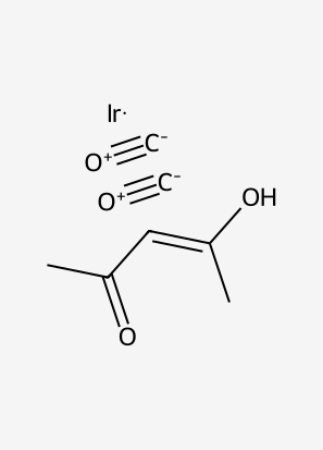 CC(=O)/C=C(\C)O.[C-]#[O+].[C-]#[O+].[Ir]